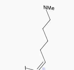 CNCCCC/C=C\I